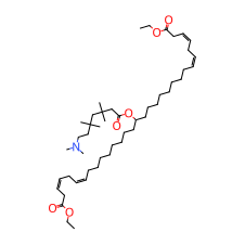 CCOC(=O)C/C=C\C/C=C\CCCCCCCCC(CCCCCCCC/C=C\C/C=C\CC(=O)OCC)OC(=O)CC(C)(C)CC(C)(C)CCN(C)C